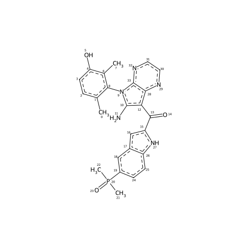 Cc1ccc(O)c(C)c1-n1c(N)c(C(=O)c2cc3cc(P(C)(C)=O)ccc3[nH]2)c2nccnc21